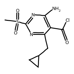 CS(=O)(=O)c1nc(N)c(C(=O)Cl)c(CC2CC2)n1